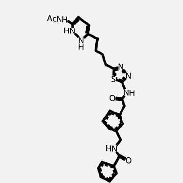 CC(=O)NC1=CC=C(CCCCc2nnc(NC(=O)Cc3cccc(CNC(=O)c4ccccc4)c3)s2)NN1